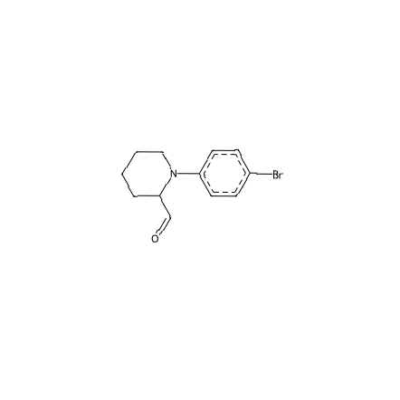 O=CC1CCCCN1c1ccc(Br)cc1